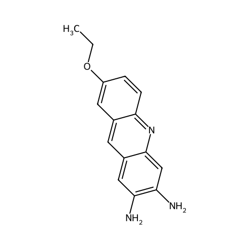 CCOc1ccc2nc3cc(N)c(N)cc3cc2c1